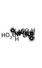 O=C(N[C@@H](Cc1cn(N[C@@H](Cc2ccccc2)C(=O)O)cn1)C(=O)O)OCC1c2ccccc2-c2ccccc21